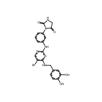 O=C1CNC(=O)N1c1cccc(Nc2ncc(Br)c(NCc3ccc(O)c(O)c3)n2)c1